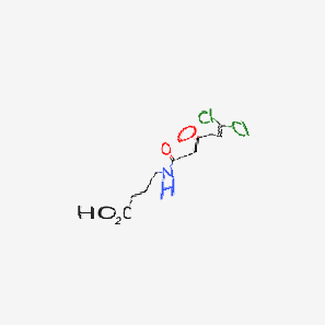 O=C(O)CCCNC(=O)CC(=O)C=C(Cl)Cl